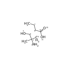 CC(C)(N)CO.CCCC(=O)O